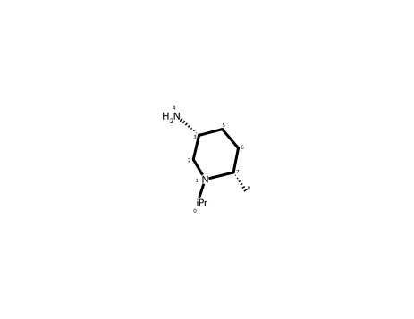 CC(C)N1C[C@H](N)CC[C@@H]1C